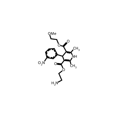 COCCOC(=O)C1=C(C)NC(C)=C(C(=O)OCCN)C1c1cccc([N+](=O)[O-])c1